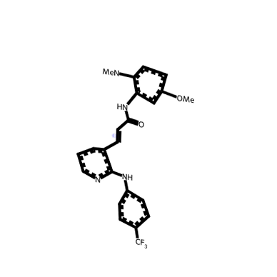 CNc1ccc(OC)cc1NC(=O)/C=C/c1cccnc1Nc1ccc(C(F)(F)F)cc1